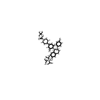 CC(C)[Si](Oc1ccc2c(c1)CC[C@H](c1ccc(F)cc1)[C@@H]2c1c(F)cc(C2CCN(C(=O)OC(C)(C)C)CC2)cc1F)(C(C)C)C(C)C